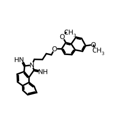 COc1ccc2c(OC)c(OCCCCN3C(=N)c4ccc5ccccc5c4C3=N)ccc2c1